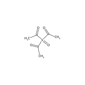 C[C](=O)[V](=[O])([C](C)=O)[C](C)=O